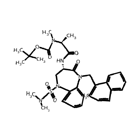 Cc1ccc2ccccc2c1CN1C(=O)[C@@H](NC(=O)[C@H](C)N(C)C(=O)OC(C)(C)C)CN(S(=O)(=O)N(C)C)c2ccccc21